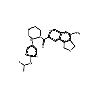 Nc1nc2cnc(C(=O)N3CCOC[C@H]3c3ccc(OC(F)F)nc3)cc2c2c1COC2